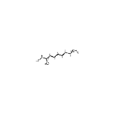 CCCCCCCC([O])CF